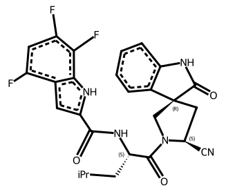 CC(C)C[C@H](NC(=O)c1cc2c(F)cc(F)c(F)c2[nH]1)C(=O)N1C[C@]2(C[C@H]1C#N)C(=O)Nc1ccccc12